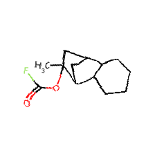 CC1(OC(=O)F)CC2CC1C1CCCCC21